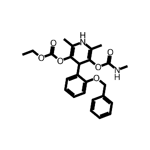 CCOC(=O)OC1=C(C)NC(C)=C(OC(=O)NC)C1c1ccccc1OCc1ccccc1